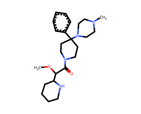 COC(C(=O)N1CCC(c2ccccc2)(N2CCN(C)CC2)CC1)C1CCCCN1